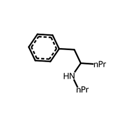 CCCNC(CCC)Cc1ccccc1